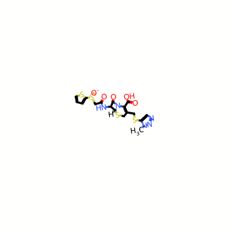 Cn1nncc1SCC1=C(C(=O)O)N2C(=O)C(NC(=O)C[S+]([O-])c3cccs3)[C@@H]2SC1